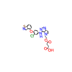 O=C(O)CCC(=O)OCCn1ccc2ncnc(Nc3ccc(Oc4cccc5sncc45)c(Cl)c3)c21